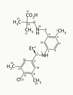 CC[C@@H](Nc1ccc(C)c(CNCC(C)(C)C(=O)O)c1)c1cc(C)c(Cl)c(C)c1